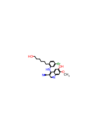 COc1cc2ncc(C#N)c(Nc3cc(Br)ccc3C[CH]CCCCO)c2cc1O